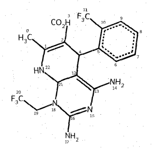 CC1=C(C(=O)O)C(c2ccccc2C(F)(F)F)C2=C(N)N=C(N)N(CC(F)(F)F)C2N1